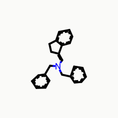 C(=C1/CCc2ccccc21)/N(Cc1ccccc1)Cc1ccccc1